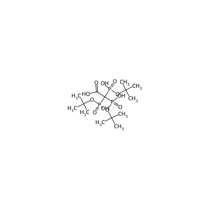 CC(C)(C)OP(=O)(O)C(C(=O)O)(P(=O)(O)OC(C)(C)C)P(=O)(O)OC(C)(C)C